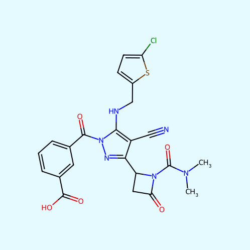 CN(C)C(=O)N1C(=O)CC1c1nn(C(=O)c2cccc(C(=O)O)c2)c(NCc2ccc(Cl)s2)c1C#N